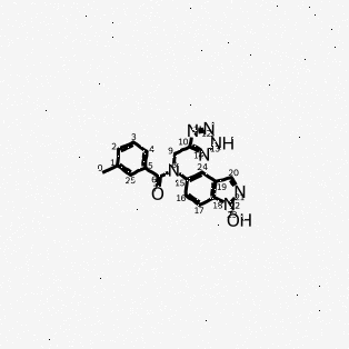 Cc1cccc(C(=O)N(Cc2nn[nH]n2)c2ccc3c(cnn3O)c2)c1